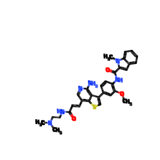 COc1cc(-c2csc3c(/C=C/C(=O)NCCN(C)C)cnc(N)c23)ccc1NC(=O)c1cc2ccccc2n1C